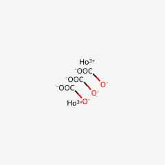 O=C([O-])[O-].O=C([O-])[O-].O=C([O-])[O-].[Ho+3].[Ho+3]